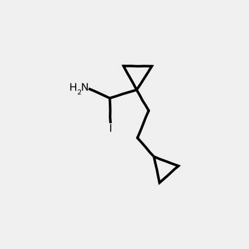 NC(I)C1(CCC2CC2)CC1